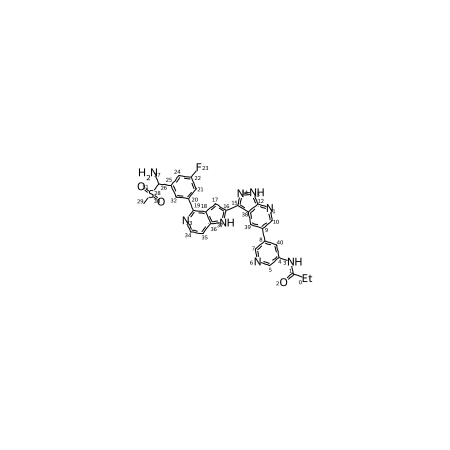 CCC(=O)Nc1cncc(-c2cnc3[nH]nc(-c4cc5c(-c6cc(F)cc(C(N)S(C)(=O)=O)c6)nccc5[nH]4)c3c2)c1